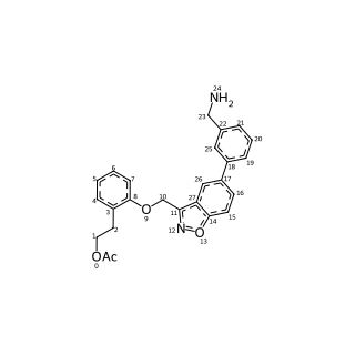 CC(=O)OCCc1ccccc1OCc1noc2ccc(-c3cccc(CN)c3)cc12